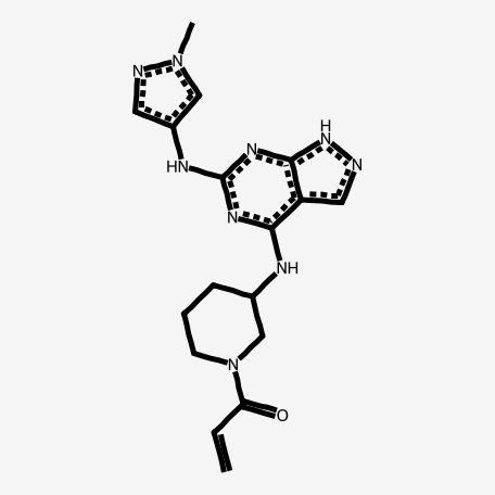 C=CC(=O)N1CCCC(Nc2nc(Nc3cnn(C)c3)nc3[nH]ncc23)C1